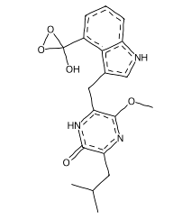 COc1nc(CC(C)C)c(=O)[nH]c1Cc1c[nH]c2cccc(C3(O)OO3)c12